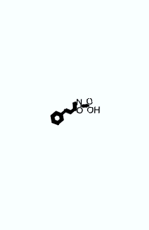 O=C(O)c1ncc(C=Cc2ccccc2)o1